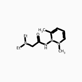 CCN(CC)CC(=O)NB1C(C)=CC=CN1C